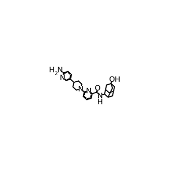 Nc1ccc(C2CCN(c3cccc(C(=O)NC4C5CC6CC4CC(O)(C6)C5)n3)CC2)cn1